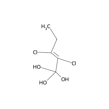 CC/C(Cl)=C(\Cl)C(O)(O)O